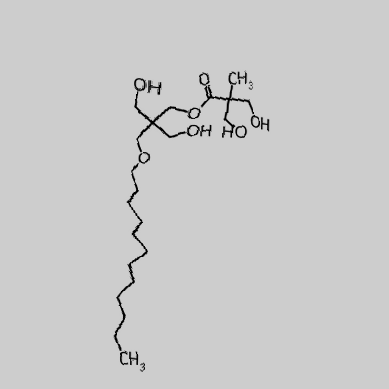 CCCCCCCCCCCCOCC(CO)(CO)COC(=O)C(C)(CO)CO